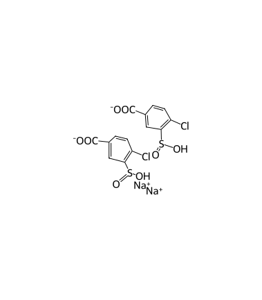 O=C([O-])c1ccc(Cl)c(S(=O)O)c1.O=C([O-])c1ccc(Cl)c(S(=O)O)c1.[Na+].[Na+]